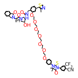 Cc1ncsc1-c1ccc(CNC(=O)[C@@H]2C[C@@H](O)CN2C(=O)[C@H](C(C)C)N2Cc3ccccc3C2=O)c(OCCOCCOCCOCCOCCOCCOc2ccc(N3C(=S)N(c4ccc(C#N)c(C(F)(F)F)c4)C(=O)C3(C)C)cc2)c1